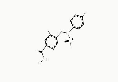 CS(=O)(=O)N(Cc1ccc(C(=O)NN)cc1F)c1ccc(F)cc1